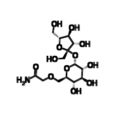 NC(=O)COC[C@H]1O[C@H](O[C@]2(CO)O[C@H](CO)[C@@H](O)[C@@H]2O)[C@H](O)[C@@H](O)[C@@H]1O